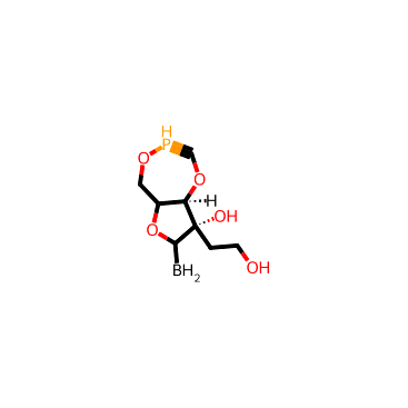 BC1OC2CO[PH]#CO[C@H]2[C@@]1(O)CCO